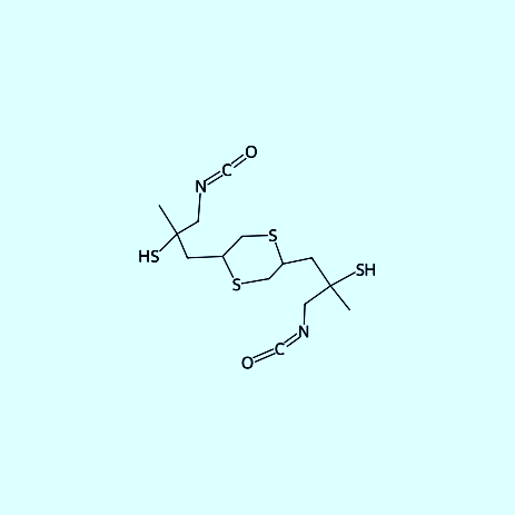 CC(S)(CN=C=O)CC1CSC(CC(C)(S)CN=C=O)CS1